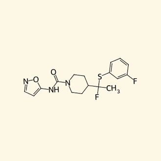 CC(F)(Sc1cccc(F)c1)C1CCN(C(=O)Nc2ccno2)CC1